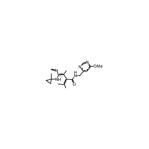 C=N/C(NC1(C)CC1)=C(\C)C(C(=O)NCc1cc(OC)ncn1)=C(C)C